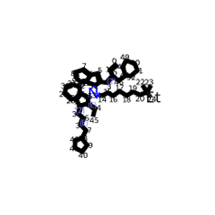 C=C/C(=C\C1=Cc2ccccc2C1N(CCCCCCCC(C)(C)CC)C1C2=C(C=CC=CC2)C(=C/C=C/CC2CCCC2)/C1=C\C)CC1CCCCC1